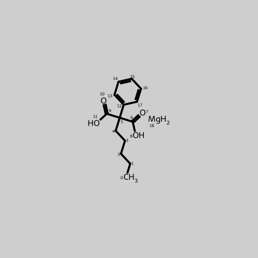 CCCCCC(C(=O)O)(C(=O)O)c1ccccc1.[MgH2]